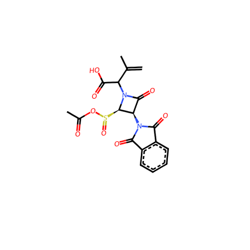 C=C(C)C(C(=O)O)N1C(=O)[C@@H](N2C(=O)c3ccccc3C2=O)[C@H]1S(=O)OC(C)=O